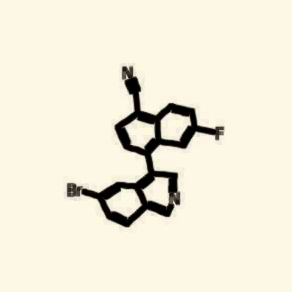 N#Cc1ccc(-c2cncc3ccc(Br)cc23)c2cc(F)ccc12